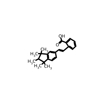 CC1C(C)(C)c2ccc(C=Cc3ccccc3C(=O)O)cc2C1(C)C